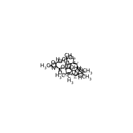 CC1=C[C@]23C(=O)[C@@H](C=C4COC(C)(C)O[C@H]4[C@]2(O)[C@H]1OC(=O)c1nc(C)oc1C)[C@H]1[C@@H](C[C@H]3C)C1(C)C